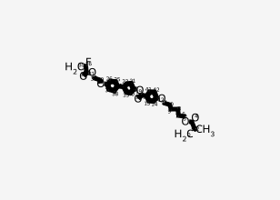 C=C(C)C(=O)OCCCCCCOc1ccc(C(=O)Oc2ccc(-c3ccc(OCCOC(=O)C(=C)F)cc3)cc2)cc1